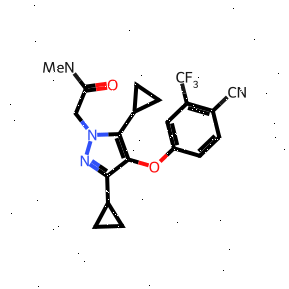 CNC(=O)Cn1nc(C2CC2)c(Oc2ccc(C#N)c(C(F)(F)F)c2)c1C1CC1